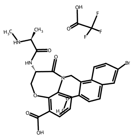 CN[C@@H](C)C(=O)N[C@H]1COc2c(C(=O)O)cccc2N(Cc2c(OC)ccc3cc(Br)ccc23)C1=O.O=C(O)C(F)(F)F